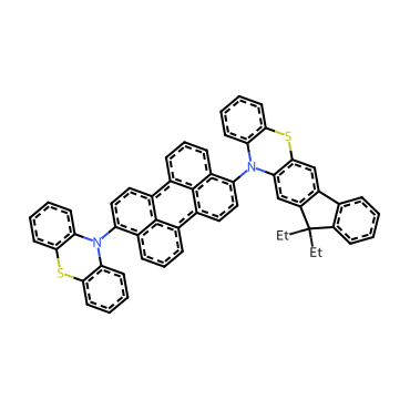 CCC1(CC)c2ccccc2-c2cc3c(cc21)N(c1ccc2c4cccc5c(N6c7ccccc7Sc7ccccc76)ccc(c6cccc1c62)c54)c1ccccc1S3